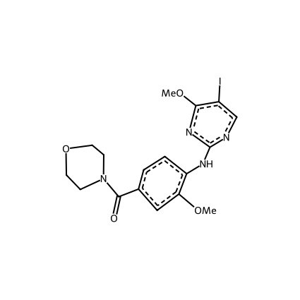 COc1cc(C(=O)N2CCOCC2)ccc1Nc1ncc(I)c(OC)n1